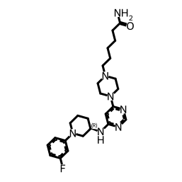 NC(=O)CCCCCN1CCN(c2cc(N[C@@H]3CCCN(c4cccc(F)c4)C3)ncn2)CC1